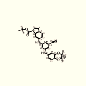 CC(C)(C)OC(=O)n1ccc2ccc(Nc3cc(Nc4ccc5c(c4)OC(F)(F)C(F)(F)O5)cc(C#N)n3)cc21